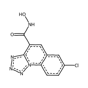 O=C(NO)c1cc2cc(Cl)ccc2n2nnnc12